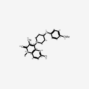 COc1ccc(OC2CCN(c3c(C#N)c(=O)n(C)c4ccc(Cl)nc34)CC2)cc1